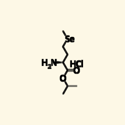 C[Se]CC[C@H](N)C(=O)OC(C)C.Cl